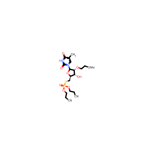 COCCO[C@H]1C(n2cc(C)c(=O)[nH]c2=O)O[C@H](CSP(=O)(OCCC#N)OCCC#N)[C@H]1O